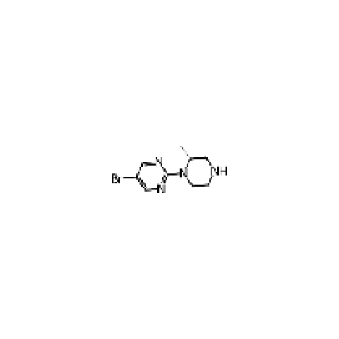 C[C@@H]1CNCCN1c1ncc(Br)cn1